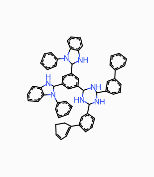 C1=CCCC(c2cccc(C3NC(c4cccc(-c5ccccc5)c4)NC(c4cc(C5Nc6ccccc6N5c5ccccc5)cc(C5Nc6ccccc6N5c5ccccc5)c4)N3)c2)=C1